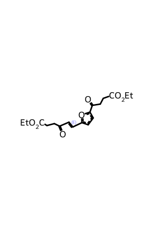 CCOC(=O)CCC(=O)/C=C/c1ccc(C(=O)CCC(=O)OCC)o1